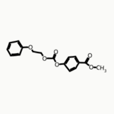 COC(=O)c1ccc(OC(=O)OCCOc2ccccc2)cc1